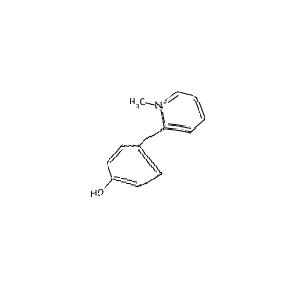 C[n+]1ccccc1-c1ccc(O)cc1